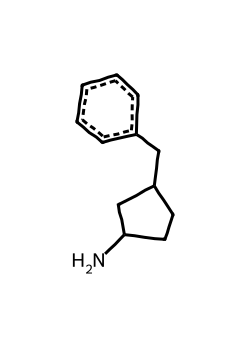 NC1CCC(Cc2ccccc2)C1